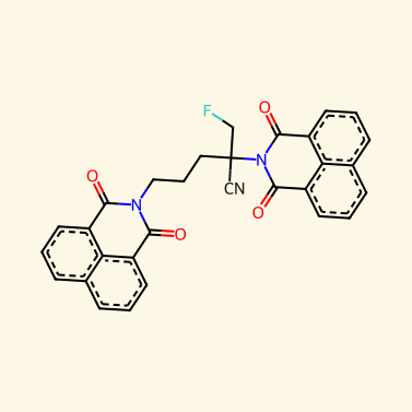 N#CC(CF)(CCCN1C(=O)c2cccc3cccc(c23)C1=O)N1C(=O)c2cccc3cccc(c23)C1=O